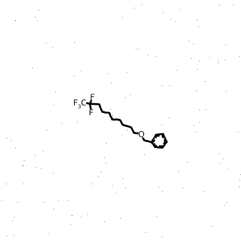 FC(F)(F)C(F)(F)CCCCCCCCOCc1ccccc1